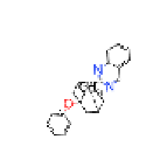 CC1C2CC3CC1(Oc1ccccc1)CC(C2)C3c1ncc2ccccc2n1